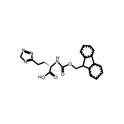 O=C(N[C@@H](CCC1=NCN=N1)C(=O)O)OCC1c2ccccc2-c2ccccc21